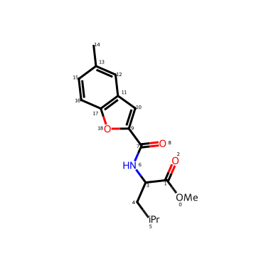 COC(=O)C(CC(C)C)NC(=O)c1cc2cc(C)ccc2o1